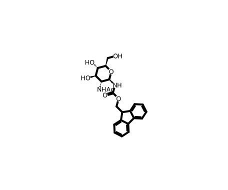 CC(=O)N[C@@H]1[C@@H](O)[C@H](O)[C@@H](CO)O[C@H]1NC(=O)OCC1c2ccccc2-c2ccccc21